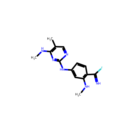 CNc1cc(Nc2ncc(C)c(NC)n2)ccc1C(=N)F